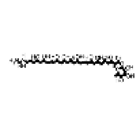 CCC(OC1OC(C)C(O)C(O)C1O)C(C)C(=O)CC(O)CC(O)CC(O)/C=C/CC(O)CC(O)CC(O)CC(O)/C=C/CC(O)CC(O)CCCNC(=N)N